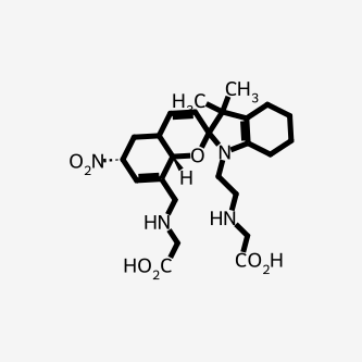 CC1(C)C2=C(CCCC2)N(CCNCC(=O)O)C12C=CC1C[C@@H]([N+](=O)[O-])C=C(CNCC(=O)O)[C@H]1O2